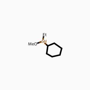 CC[SH](OC)C1CCCCC1